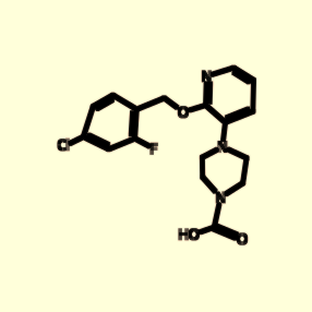 O=C(O)N1CCN(c2cccnc2OCc2ccc(Cl)cc2F)CC1